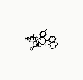 CC(=O)[C@H]1CNCC[C@]1(C(=O)O)[N@+]1(CC(C)(C)C)C(=O)CSC(c2cccc3c2OCCO3)c2cc(C)ccc21